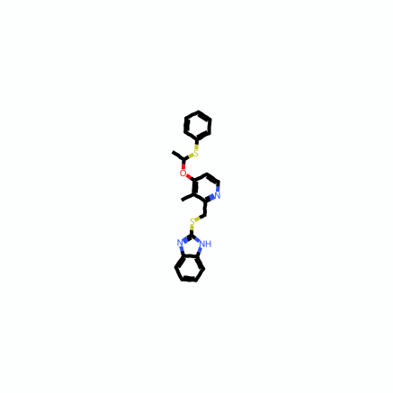 Cc1c(OC(C)Sc2ccccc2)ccnc1CSc1nc2ccccc2[nH]1